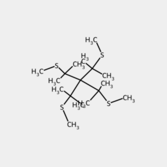 CSC(C)(C)C(C(C)(C)SC)(C(C)(C)SC)C(C)(C)SC